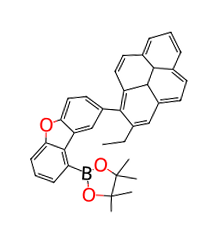 CCC1=CC2=CC=C3C=CC=C4C=CC(=C1c1ccc5oc6cccc(B7OC(C)(C)C(C)(C)O7)c6c5c1)C2C43